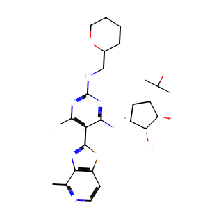 CCC(O)(CC)[C@H]1C[C@@H](Nc2nc(NCC3CCCCO3)nc(C)c2-c2nc3c(C)nccc3s2)[C@H](O)[C@@H]1O